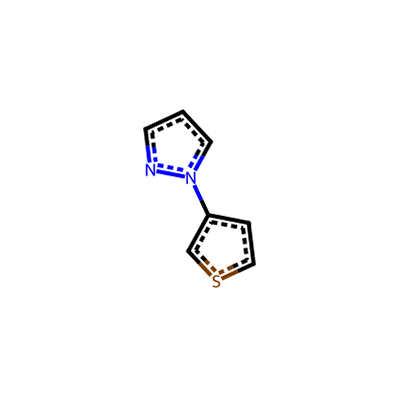 c1cnn(-c2ccsc2)c1